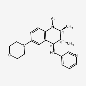 CC(=O)N1c2ccc(N3CCOCC3)cc2[C@H](Nc2cccnc2)[C@@H](C)[C@@H]1C